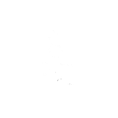 CNC[C@@H](O)[C@H](c1ccccc1)N(C)c1ccc(OC)cc1